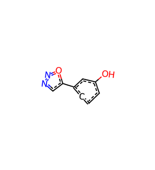 Oc1cccc(-c2cnno2)c1